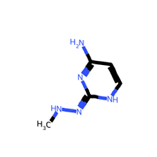 CNN=c1nc(N)cc[nH]1